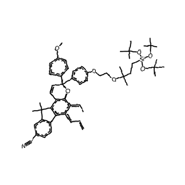 C=C/C=c1/c2c(c3c(/c1=C/C)OC(c1ccc(OC)cc1)(c1ccc(OCCOC(C)(C)CC[Si](OC(C)(C)C)(OC(C)(C)C)OC(C)(C)C)cc1)C=C3)C(C)(C)c1cc(C#N)ccc1-2